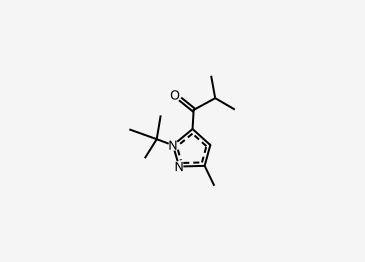 Cc1cc(C(=O)C(C)C)n(C(C)(C)C)n1